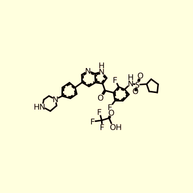 O=C(O)C(F)(F)F.O=C(c1c(F)ccc(NS(=O)(=O)C2CCCC2)c1F)c1c[nH]c2ncc(-c3ccc(N4CCNCC4)cc3)cc12